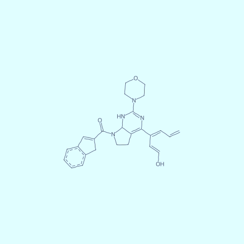 C=C/C=C(\C=C\O)C1=C2CCN(C(=O)C3=Cc4ccccc4C3)C2NC(N2CCOCC2)=N1